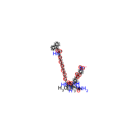 CC(C)[C@H](NC(=O)CCOCCOCCOCCOCCOCCOCCNC(=O)OCC1c2ccccc2-c2ccccc21)C(=O)N[C@@H](CCCNC(N)=O)C(=O)Nc1ccc(COC(=O)Oc2ccc([N+](=O)[O-])cc2)cc1